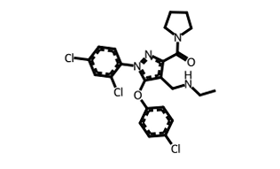 CCNCc1c(C(=O)N2CCCC2)nn(-c2ccc(Cl)cc2Cl)c1Oc1ccc(Cl)cc1